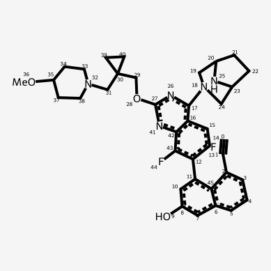 C#Cc1cccc2cc(O)cc(-c3c(F)cc4c(N5CC6CCC(C5)N6)nc(OCC5(CN6CCC(OC)CC6)CC5)nc4c3F)c12